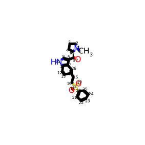 CN1CCC[C@@H]1C(=O)c1c[nH]c2ccc(CCS(=O)(=O)c3ccccc3)cc12